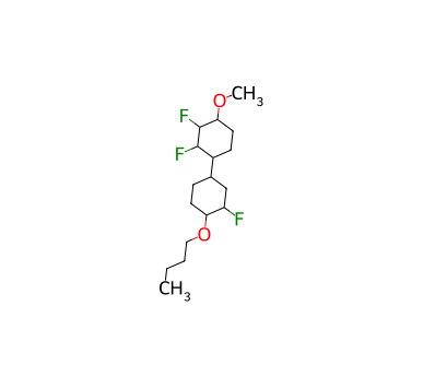 CCCCOC1CCC(C2CCC(OC)C(F)C2F)CC1F